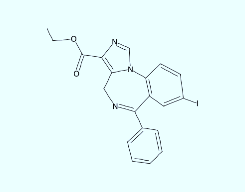 CCOC(=O)c1ncn2c1CN=C(c1ccccc1)c1cc(I)ccc1-2